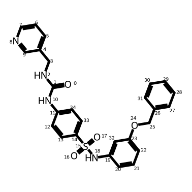 O=C(NCc1cccnc1)Nc1ccc(S(=O)(=O)Nc2cccc(OCc3ccccc3)c2)cc1